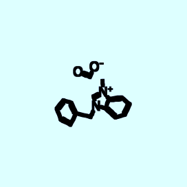 C[n+]1cn(Cc2ccccc2)c2ccccc21.O=C[O-]